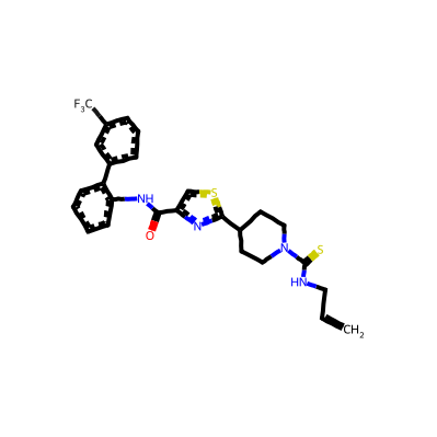 C=CCNC(=S)N1CCC(c2nc(C(=O)Nc3ccccc3-c3cccc(C(F)(F)F)c3)cs2)CC1